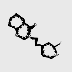 O=c1c2ccccc2ncn1CCc1ccnc(F)c1